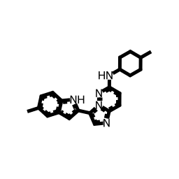 Cc1ccc2[nH]c(-c3cnc4ccc(NC5CCC(C)CC5)nn34)cc2c1